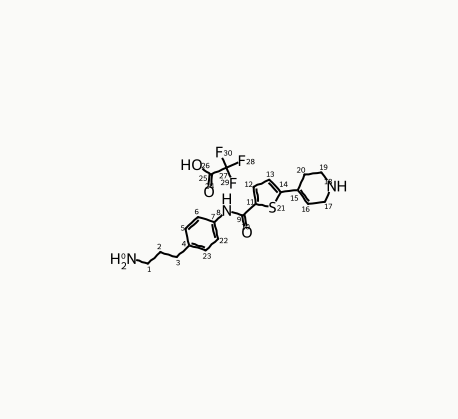 NCCCc1ccc(NC(=O)c2ccc(C3=CCNCC3)s2)cc1.O=C(O)C(F)(F)F